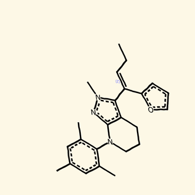 CC/C=C(\c1ccco1)c1c2c(nn1C)N(c1c(C)cc(C)cc1C)CCC2